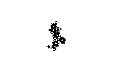 COc1nn([C@@H](Cc2ccccc2)C(=O)Nc2ccc(C(=O)O)c(F)c2)c(=O)cc1-c1cc(Cl)ccc1C(C)=O